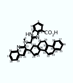 CN(Cc1nc2c(C(=O)O)cccc2[nH]1)c1nc2ccccc2cc1C1C=CC2=C(CCc3c2ccc2ccccc32)C1